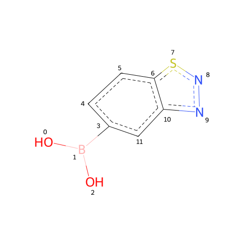 OB(O)c1ccc2snnc2c1